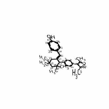 Cc1noc(C)c1-c1ccc(C2C(=Cc3ccc(O)cc3)CC(C)(C)CC2(C)C)cc1